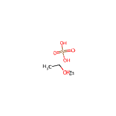 CCO.O=S(=O)(O)O.[Zn]